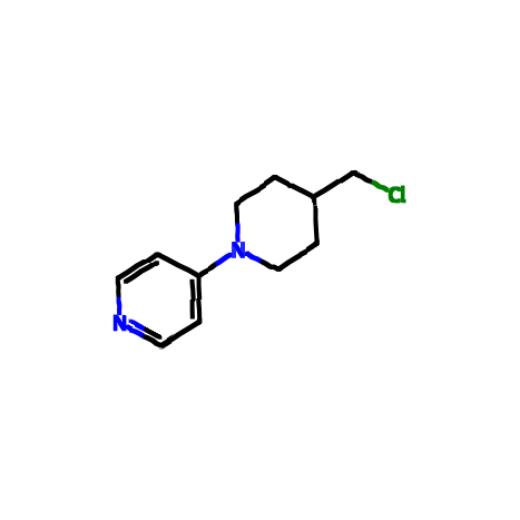 ClCC1CCN(c2ccncc2)CC1